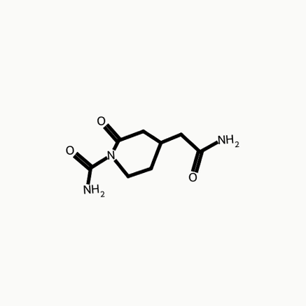 NC(=O)CC1CCN(C(N)=O)C(=O)C1